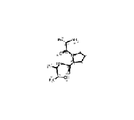 CC(C)C(NC(=O)[C@@H]1CCCN1C(=O)[C@@H](N)C(C)C)C(O)C(F)(F)F